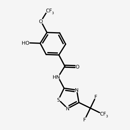 O=C(Nc1nc(C(F)(F)C(F)(F)F)ns1)c1ccc(OC(F)(F)F)c(O)c1